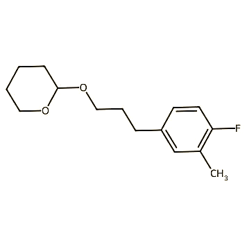 Cc1cc(CCCOC2CCCCO2)ccc1F